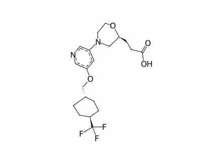 O=C(O)CC[C@H]1CN(c2cncc(OC[C@H]3CC[C@H](C(F)(F)F)CC3)c2)CCO1